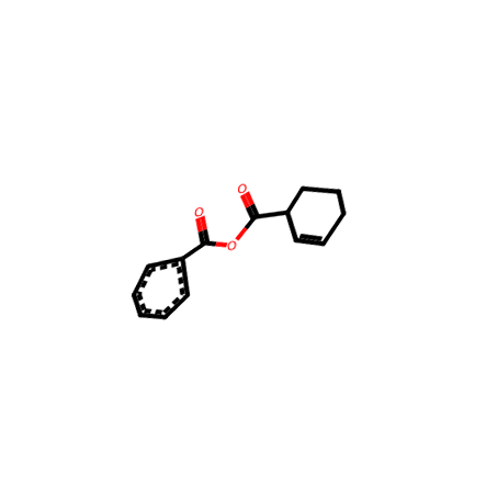 O=C(OC(=O)C1C=CCCC1)c1ccccc1